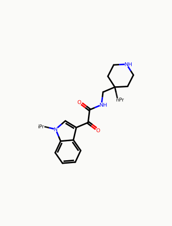 CCCC1(CNC(=O)C(=O)c2cn(C(C)C)c3ccccc23)CCNCC1